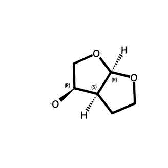 [O][C@H]1CO[C@H]2OCC[C@H]21